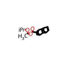 CC(C)OC(C)OC(=O)C1CC2CC1C1C3C=CC(C3)C21